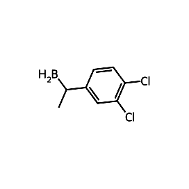 BC(C)c1ccc(Cl)c(Cl)c1